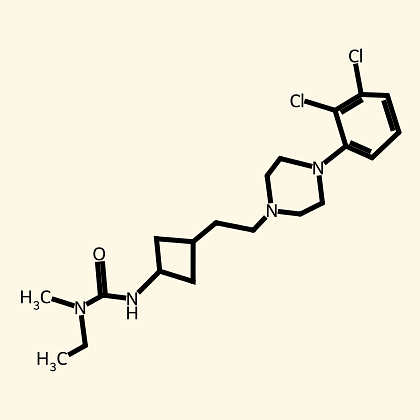 CCN(C)C(=O)NC1CC(CCN2CCN(c3cccc(Cl)c3Cl)CC2)C1